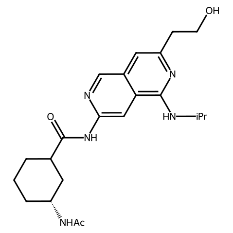 CC(=O)N[C@@H]1CCCC(C(=O)Nc2cc3c(NC(C)C)nc(CCO)cc3cn2)C1